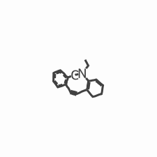 CCN1Cc2ccccc2C#CC2=C1C=CCC2